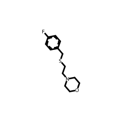 Fc1ccc(CSCCN2CCOCC2)cc1